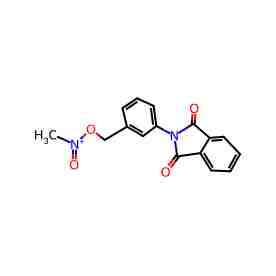 C[N+](=O)OCc1cccc(N2C(=O)c3ccccc3C2=O)c1